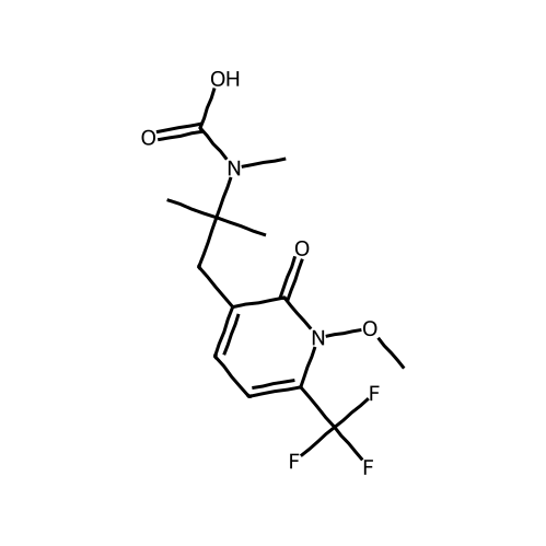 COn1c(C(F)(F)F)ccc(CC(C)(C)N(C)C(=O)O)c1=O